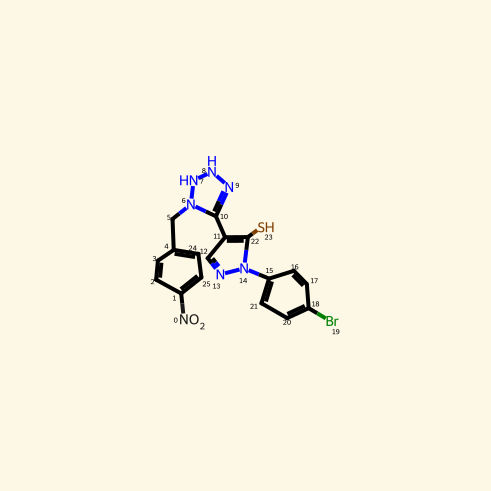 O=[N+]([O-])c1ccc(CN2NNN=C2c2cnn(-c3ccc(Br)cc3)c2S)cc1